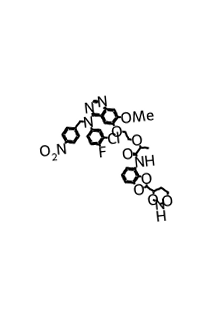 COc1cc2ncnc(N(Cc3ccc([N+](=O)[O-])cc3)c3ccc(F)c(Cl)c3)c2cc1OCCOC(C)C(=O)Nc1cccc2c1OC(C1CCONO1)O2